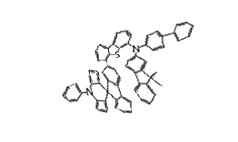 CC1(C)c2ccccc2-c2ccc(N(c3ccc(-c4ccccc4)cc3)c3cccc4c3sc3c(-c5ccc6c(c5)C5(c7ccccc7-6)c6ccccc6N(c6ccccc6)c6ccccc65)cccc34)cc21